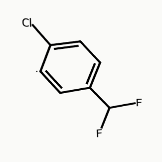 FC(F)c1c[c]c(Cl)cc1